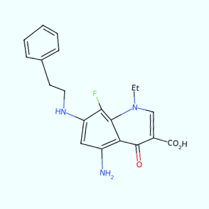 CCn1cc(C(=O)O)c(=O)c2c(N)cc(NCCc3ccccc3)c(F)c21